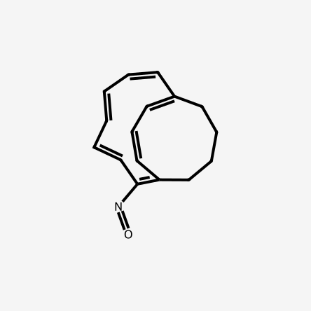 O=NC1=C2\C=C/C=C(/C=C\C=C\C=C\1)CCCC2